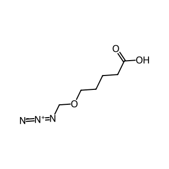 [N-]=[N+]=NCOCCCCC(=O)O